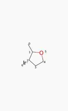 CC1CCCO1.[Ir]